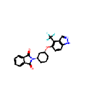 O=C1c2ccccc2C(=O)N1[C@@H]1CCC[C@@H](Oc2ccc3[nH]ncc3c2C(F)(F)F)C1